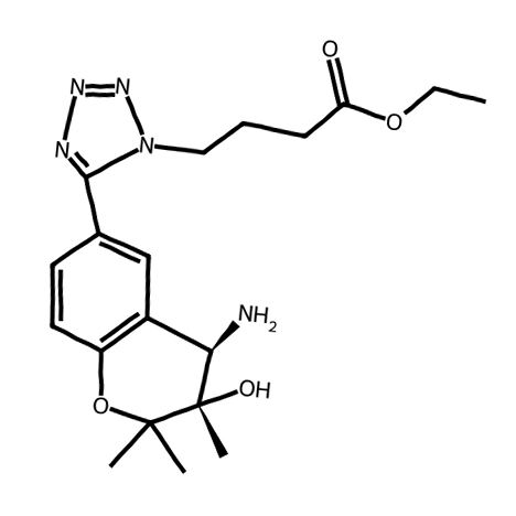 CCOC(=O)CCCn1nnnc1-c1ccc2c(c1)[C@@H](N)[C@](C)(O)C(C)(C)O2